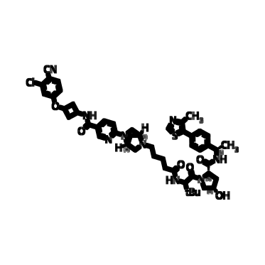 Cc1ncsc1-c1ccc([C@H](C)NC(=O)[C@@H]2C[C@@H](O)CN2C(=O)C(NC(=O)CCCCN2C[C@H]3C[C@@H]2CN3c2ccc(C(=O)NC3CC(Oc4ccc(C#N)c(Cl)c4)C3)cn2)C(C)(C)C)cc1